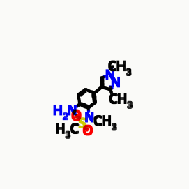 Cc1nn(C)cc1-c1ccc(N)c(N(C)S(C)(=O)=O)c1